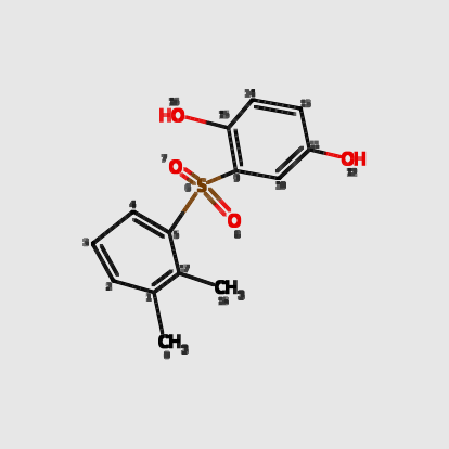 Cc1cccc(S(=O)(=O)c2cc(O)ccc2O)c1C